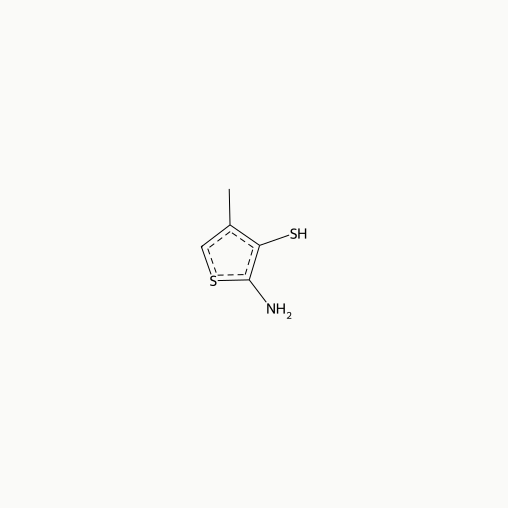 Cc1csc(N)c1S